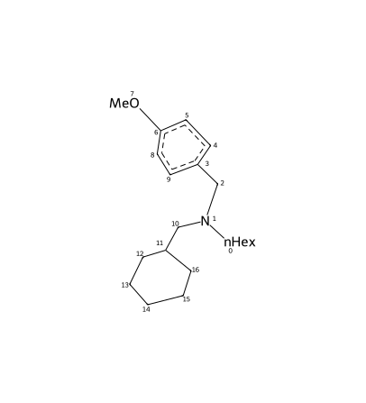 CCCCCCN(Cc1ccc(OC)cc1)CC1CCCCC1